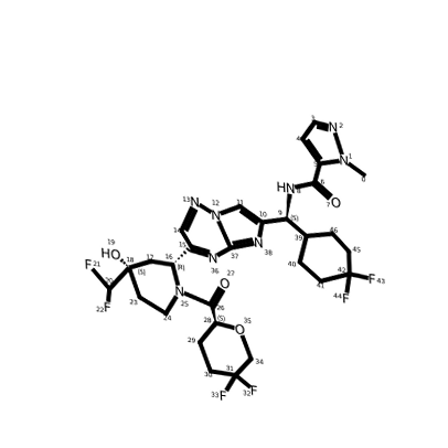 Cn1nccc1C(=O)N[C@H](c1cn2ncc([C@H]3C[C@](O)(C(F)F)CCN3C(=O)[C@@H]3CCC(F)(F)CO3)nc2n1)C1CCC(F)(F)CC1